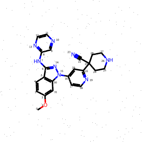 COc1ccc2c(Nc3cnccn3)nn(-c3ccnc(C4(C#N)CCNCC4)c3)c2c1